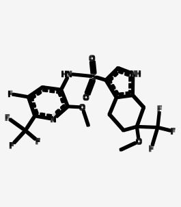 COc1nc(C(F)(F)F)c(F)cc1NS(=O)(=O)c1c[nH]c2c1CCC(OC)(C(F)(F)F)C2